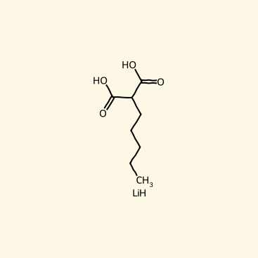 CCCCCC(C(=O)O)C(=O)O.[LiH]